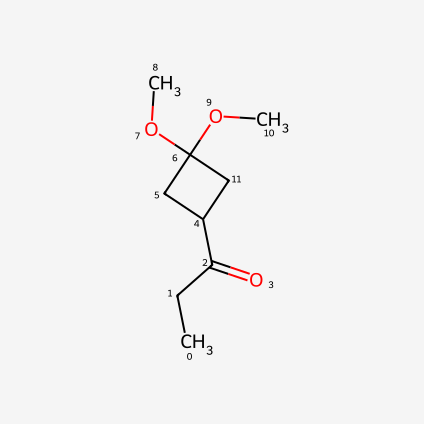 CCC(=O)C1CC(OC)(OC)C1